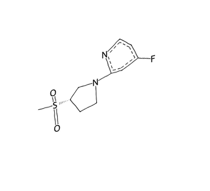 CS(=O)(=O)[C@H]1CCN(c2cc(F)ccn2)C1